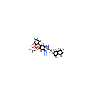 CS(=O)(=O)c1ccccc1-c1ccc2[nH]c(COc3ccc4ccccc4c3)nc2c1